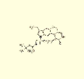 CCc1cn(C2(C)CN(C(=O)OC(C)(C)C)C2)c2cc3c(cc12)OCC1=NNC(=O)[C@@H](C)N13